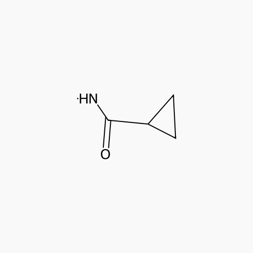 [NH]C(=O)C1CC1